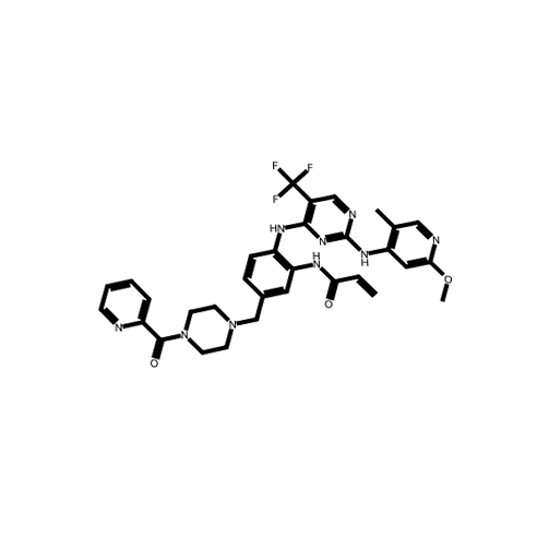 C=CC(=O)Nc1cc(CN2CCN(C(=O)c3ccccn3)CC2)ccc1Nc1nc(Nc2cc(OC)ncc2C)ncc1C(F)(F)F